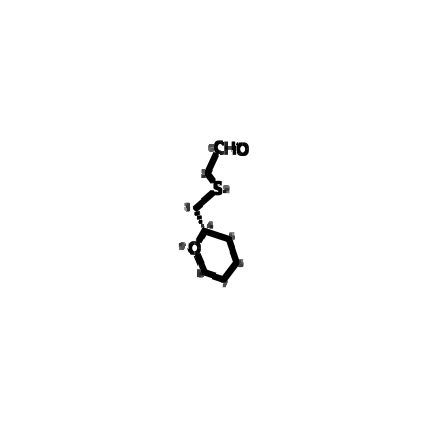 O=CCSC[C@@H]1CCCCO1